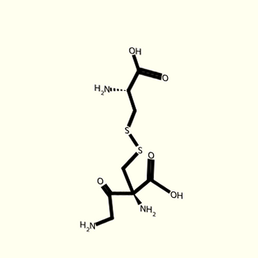 NCC(=O)[C@](N)(CSSC[C@H](N)C(=O)O)C(=O)O